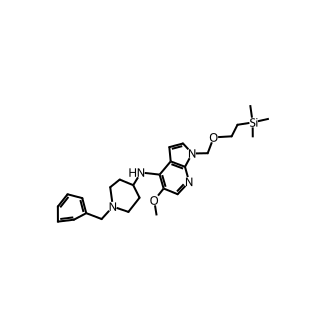 COc1cnc2c(ccn2COCC[Si](C)(C)C)c1NC1CCN(Cc2ccccc2)CC1